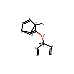 C=C[SiH](C=C)OC1=CC2C=CC1(C)C2